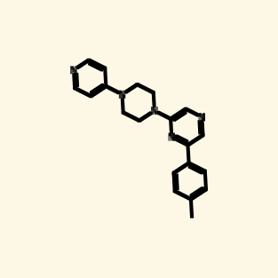 Cc1ccc(-c2cncc(N3CCN(c4ccncc4)CC3)n2)cc1